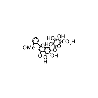 COc1ccccc1-c1cc(=O)c2c(O)c(O)c(O[C@@H]3O[C@H](C(=O)O)[C@@H](O)[C@H](O)[C@H]3O)cc2o1